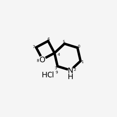 C1CNCC2(C1)CCO2.Cl